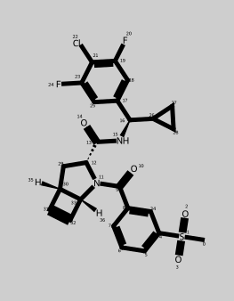 CS(=O)(=O)c1cccc(C(=O)N2[C@@H](C(=O)N[C@@H](c3cc(F)c(Cl)c(F)c3)C3CC3)C[C@H]3C#C[C@H]32)c1